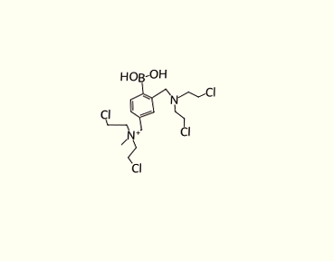 C[N+](CCCl)(CCCl)Cc1ccc(B(O)O)c(CN(CCCl)CCCl)c1